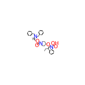 CCc1c(OC2CCN(C(=O)OC[C@H](C)N(Cc3ccccc3)Cc3ccccc3)CC2)n(C(=O)O)c2ccccc12